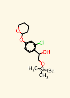 CC(C)(C)[Si](C)(C)OCC(O)c1ccc(OC2CCCCO2)cc1Cl